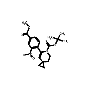 COC(=O)c1ccc(C2=CC3(CCN2C(=O)OC(C)(C)C)CC3)c([N+](=O)[O-])c1